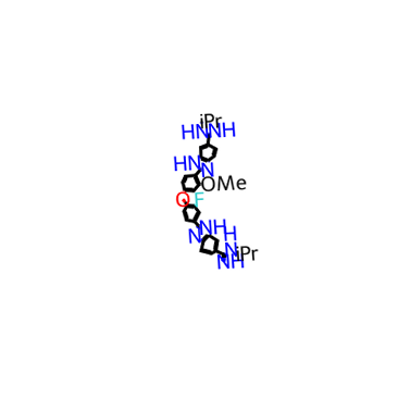 COc1cc(Oc2ccc(-c3nc4ccc(C(=N)NC(C)C)cc4[nH]3)cc2F)ccc1-c1nc2ccc(C(=N)NC(C)C)cc2[nH]1